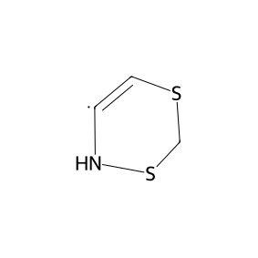 [C]1=CSCSN1